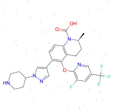 C[C@H]1CCc2c(ccc(-c3cnn(C4CCNCC4)c3)c2Oc2ncc(C(F)(F)F)cc2F)N1C(=O)O